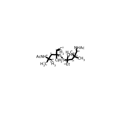 C=CC(C)(CC(C)(C)NC(C)=O)SSC(C)(CC)CC(C)(C)CNC(C)=O